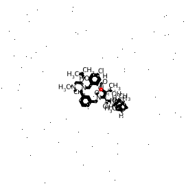 CC(C)C[C@@H](CN(C)C)N(Cc1cccc(CN2O[C@@H](CO)[C@@H]([C@H](C)O)[C@H]2C(=O)N[C@H]2C[C@H]3C[C@@H]([C@@H]2C)C3(C)C)c1)Cc1c(O)cc(Cl)cc1Cl